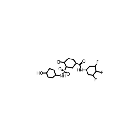 O=C(NC1CC(F)C(F)C(F)C1)C1CCC(Cl)C(S(=O)(=O)NC2CCC(O)CC2)C1